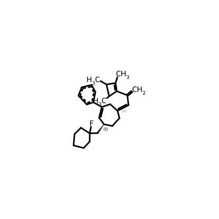 C=C(/C=C1/CC[C@@H](CC2(F)CCCCC2)C=C(c2ccccc2)C1)C1=C(C)C(C)C1C